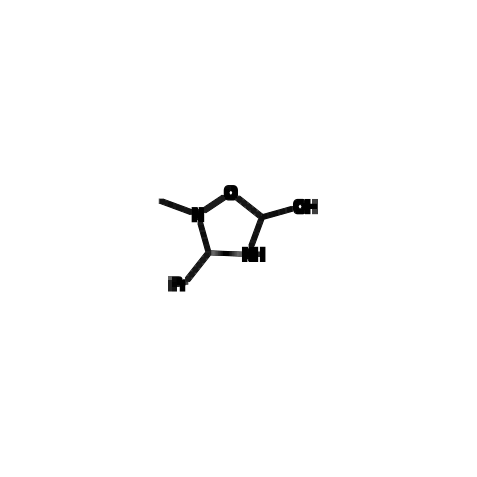 CC(C)C1NC(O)ON1C